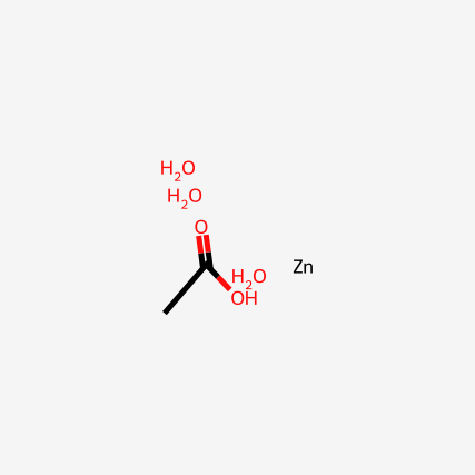 CC(=O)O.O.O.O.[Zn]